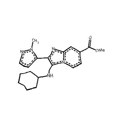 COC(=O)c1ccn2c(NC3CCCCC3)c(-c3ccnn3C)nc2c1